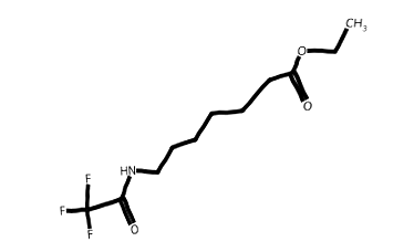 CCOC(=O)CCCCCCNC(=O)C(F)(F)F